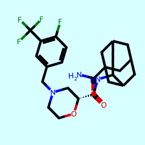 NC(=O)C12CC3CC(C1)C(NC(=O)[C@H]1CN(Cc4ccc(F)c(C(F)(F)F)c4)CCO1)C(C3)C2